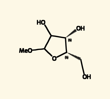 COC1O[C@@H](CO)[C@@H](O)C1O